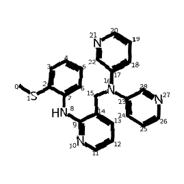 CSc1ccccc1Nc1ncccc1CN(c1cccnc1)c1cccnc1